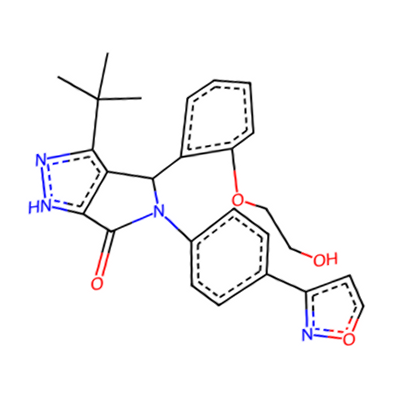 CC(C)(C)c1n[nH]c2c1C(c1ccccc1OCCO)N(c1ccc(-c3ccon3)cc1)C2=O